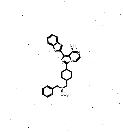 Nc1nccn2c(C3CCC(CN(Cc4ccccc4)C(=O)O)CC3)nc(-c3cc4ccccc4[nH]3)c12